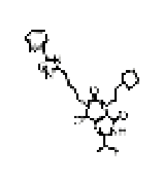 CC(F)c1nc2c(=O)n(CCCCc3noc(-c4ccccn4)n3)c(=O)n(CCC3CCCC3)c2c(=O)[nH]1